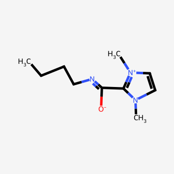 CCCC/N=C(\[O-])c1n(C)cc[n+]1C